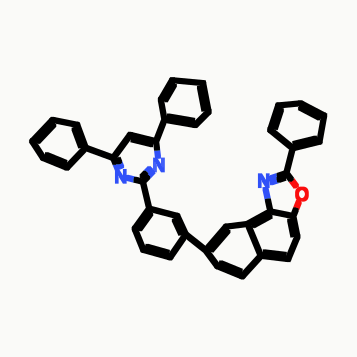 c1ccc(-c2cc(-c3ccccc3)nc(-c3cccc(-c4ccc5ccc6oc(-c7ccccc7)nc6c5c4)c3)n2)cc1